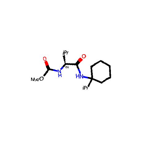 COC(=O)N[C@H](C(=O)NC1(C(C)C)CCCCC1)C(C)C